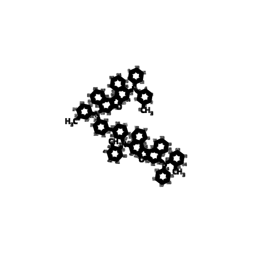 Cc1cccc(N(c2ccccc2)c2cc3oc4cc(N(c5cccc(C)c5)c5cccc(-c6cccc(N(c7ccccc7C)c7cc8oc9cc(N(c%10ccccc%10)c%10ccccc%10C)c%10ccccc%10c9c8c8ccccc78)c6)c5)c5ccccc5c4c3c3ccccc23)c1